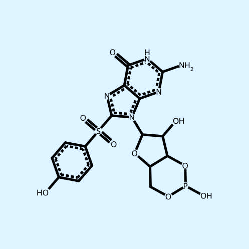 Nc1nc2c(nc(S(=O)(=O)c3ccc(O)cc3)n2C2OC3COP(O)OC3C2O)c(=O)[nH]1